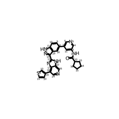 O=C(Nc1cncc(-c2ccc3[nH]nc(-c4nc5c(-c6ccsc6)cncc5[nH]4)c3c2)c1)C1CCCC1